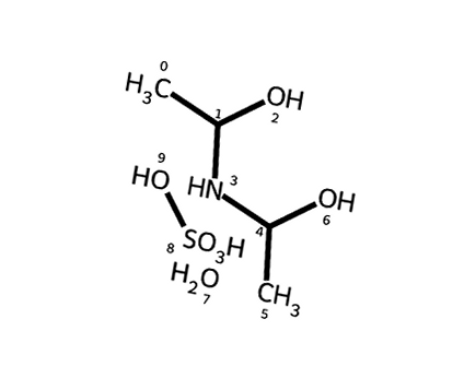 CC(O)NC(C)O.O.O=S(=O)(O)O